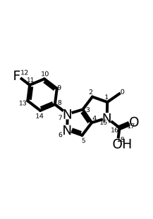 CC1Cc2c(cnn2-c2ccc(F)cc2)N1C(=O)O